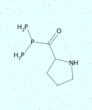 O=C(C1CCCN1)P(P)P